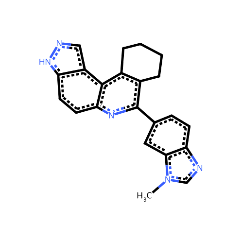 Cn1cnc2ccc(-c3nc4ccc5[nH]ncc5c4c4c3CCCC4)cc21